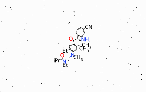 CCc1cc2c(cc1N(C)CCN(CC)C(=O)C(C)C)C(C)(C)c1[nH]c3c(c1C2=O)CC=CC(C#N)=C3